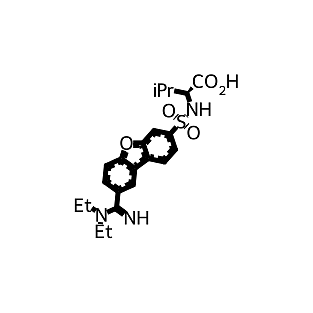 CCN(CC)C(=N)c1ccc2oc3cc(S(=O)(=O)N[C@H](C(=O)O)C(C)C)ccc3c2c1